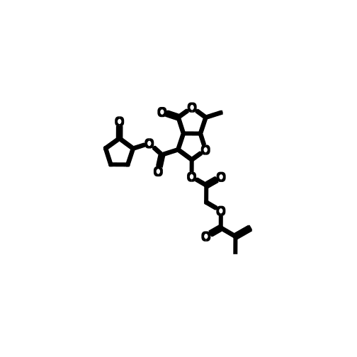 C=C(C)C(=O)OCC(=O)OC1OC2C(C)OC(=O)C2C1C(=O)OC1CCCC1=O